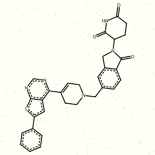 O=C1CCC(N2Cc3cc(CN4CC=C(c5ncnc6sc(-c7ccccc7)cc56)CC4)ccc3C2=O)C(=O)N1